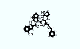 N#Cc1cccc2[nH]c(C(=O)N3C[C@@H]4CCC[C@@H]4[C@H]3C(=O)N[C@@H](C[C@@H]3CCNC3=O)C(=O)COCc3ccccc3)cc12